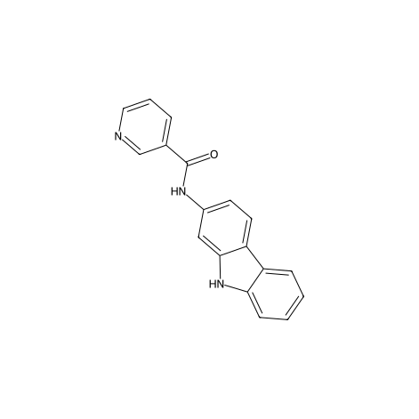 O=C(Nc1ccc2c(c1)[nH]c1ccccc12)c1cccnc1